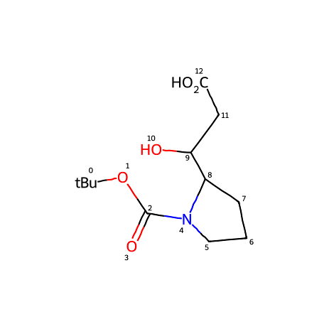 CC(C)(C)OC(=O)N1CCCC1C(O)CC(=O)O